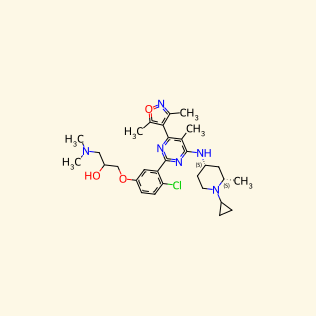 Cc1noc(C)c1-c1nc(-c2cc(OCC(O)CN(C)C)ccc2Cl)nc(N[C@H]2CCN(C3CC3)[C@@H](C)C2)c1C